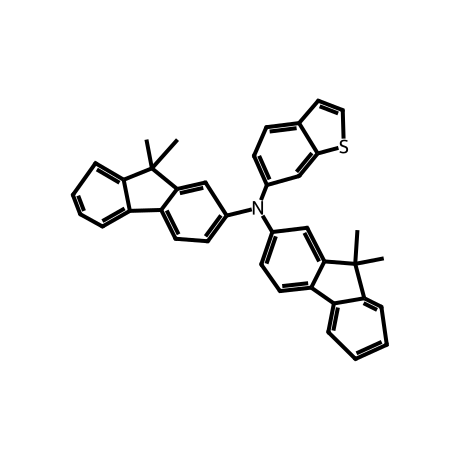 CC1(C)c2ccccc2-c2ccc(N(c3ccc4c(c3)C(C)(C)c3ccccc3-4)c3ccc4ccsc4c3)cc21